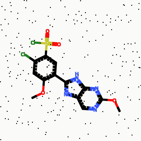 COc1ncc2nc(-c3cc(S(=O)(=O)Cl)c(Cl)cc3OC)[nH]c2n1